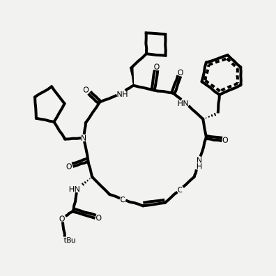 CC(C)(C)OC(=O)N[C@H]1CC/C=C\CCNC(=O)[C@@H](Cc2ccccc2)NC(=O)C(=O)[C@H](CC2CCC2)NC(=O)CN(CC2CCCC2)C1=O